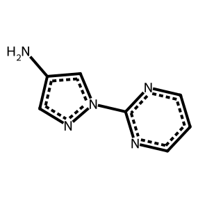 Nc1cnn(-c2ncccn2)c1